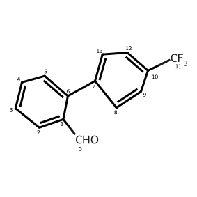 O=Cc1ccccc1-c1ccc(C(F)(F)F)cc1